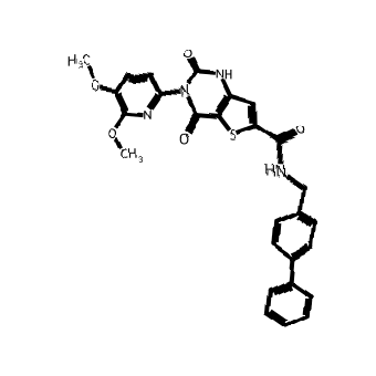 COc1ccc(-n2c(=O)[nH]c3cc(C(=O)NCc4ccc(-c5ccccc5)cc4)sc3c2=O)nc1OC